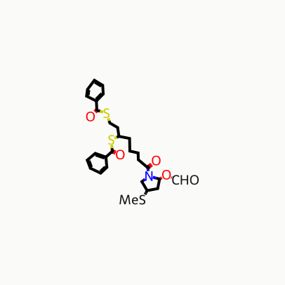 CSC1CC(OC=O)N(C(=O)CCCCC(CCSC(=O)c2ccccc2)SC(=O)c2ccccc2)C1